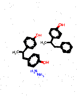 CC(Cc1ccc(O)cc1)c1ccc(O)cc1.CC(Cc1ccccc1)c1ccc(O)cc1.N.N